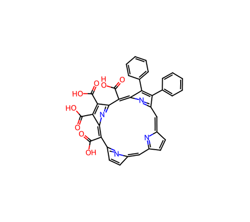 O=C(O)C1=C2N=C(C(C(=O)O)=C3N=C(C=C4C=CC(=N4)C=C4C=CC1=N4)C(c1ccccc1)=C3c1ccccc1)C(C(=O)O)=C2C(=O)O